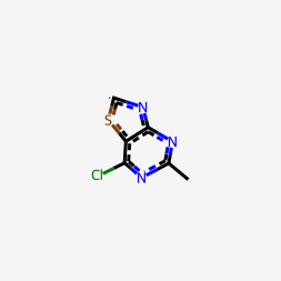 Cc1nc(Cl)c2s[c]nc2n1